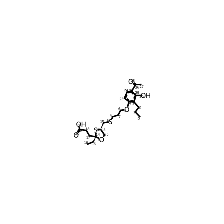 CCCc1c(OCCCSC[C@H]2CO[C@](CC)(CCC(=O)O)S2)ccc(C(C)=O)c1O